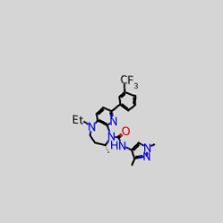 CCN1CC[C@@H](C)N(C(=O)Nc2cn(C)nc2C)c2nc(-c3cccc(C(F)(F)F)c3)ccc21